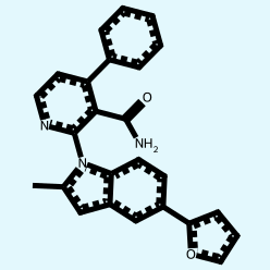 Cc1cc2cc(-c3ccco3)ccc2n1-c1nccc(-c2ccccc2)c1C(N)=O